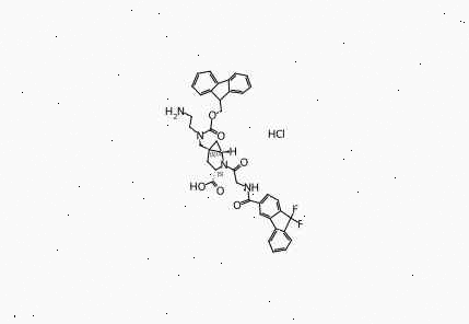 Cl.NCCN(C[C@@]12C[C@@H]1N(C(=O)CNC(=O)c1ccc3c(c1)-c1ccccc1C3(F)F)[C@H](C(=O)O)C2)C(=O)OCC1c2ccccc2-c2ccccc21